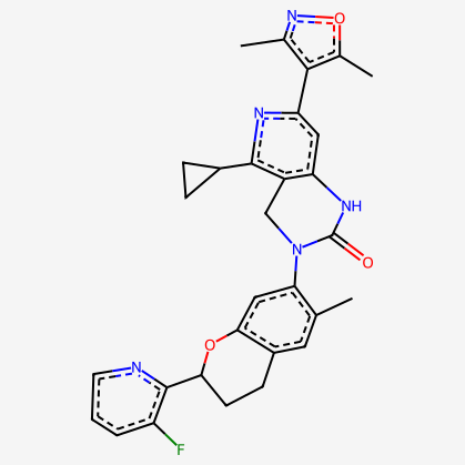 Cc1cc2c(cc1N1Cc3c(cc(-c4c(C)noc4C)nc3C3CC3)NC1=O)OC(c1ncccc1F)CC2